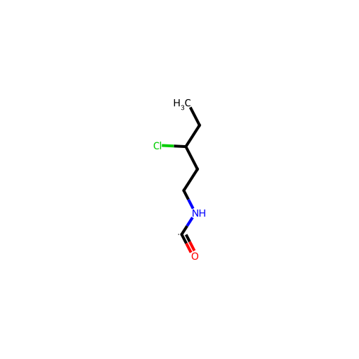 CCC(Cl)CCN[C]=O